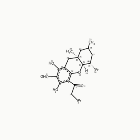 CC(C)CC(=O)c1c(O)c(C=O)c(O)c2c1O[C@@H]1[C@@H](C(C)C)CC(C)C[C@]1(C)C2